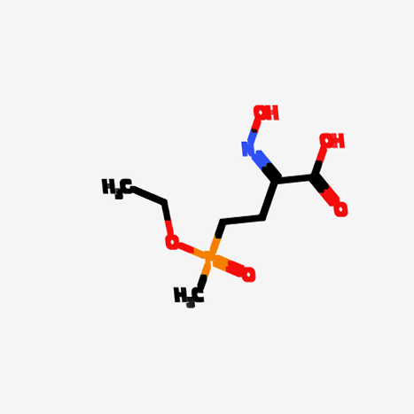 CCOP(C)(=O)CCC(=NO)C(=O)O